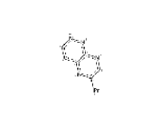 CC(C)c1cnc2nnccc2n1